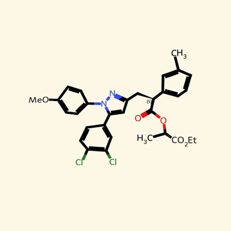 CCOC(=O)C(C)OC(=O)[C@@H](Cc1cc(-c2ccc(Cl)c(Cl)c2)n(-c2ccc(OC)cc2)n1)c1cccc(C)c1